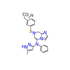 Cc1cc(N(C2=CN(Sc3cccc(CC(=O)O)c3)CC3=NC=C[N+]23)c2ccccc2)n[nH]1